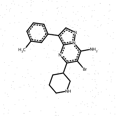 Cc1cccc(-c2cnn3c(N)c(Br)c(C4CCCNC4)nc23)c1